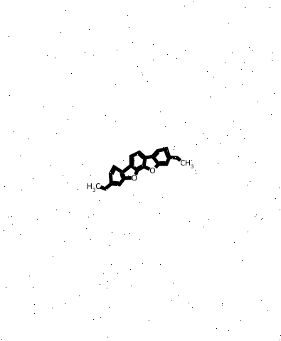 CCc1ccc2c(c1)oc1c2ccc2c3ccc(CC)cc3oc21